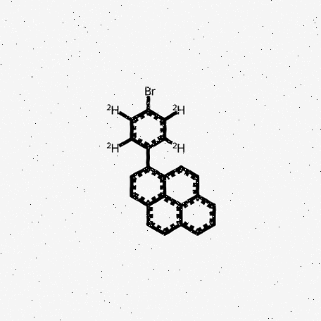 [2H]c1c([2H])c(-c2ccc3ccc4cccc5ccc2c3c45)c([2H])c([2H])c1Br